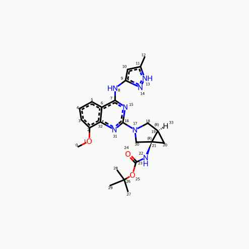 COc1cccc2c(Nc3cc(C)[nH]n3)nc(N3C[C@H]4C[C@]4(NC(=O)OC(C)(C)C)C3)nc12